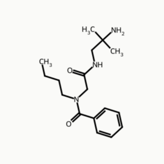 CCCCN(CC(=O)NCC(C)(C)N)C(=O)c1ccccc1